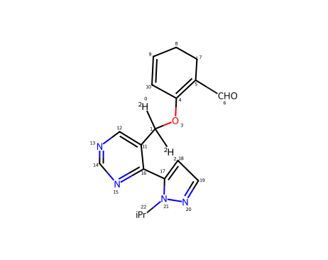 [2H]C([2H])(OC1=C(C=O)[CH]CC=C1)c1cncnc1-c1ccnn1C(C)C